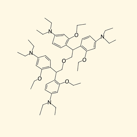 CCOc1cc(N(CC)CC)ccc1C(COCC(c1ccc(N(CC)CC)cc1OCC)c1ccc(N(CC)CC)cc1OCC)c1ccc(N(CC)CC)cc1OCC